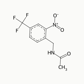 CC(=O)NCc1ccc(C(F)(F)F)cc1[N+](=O)[O-]